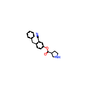 N#Cc1cc(OC(=O)C2CCNC2)ccc1Cc1ccccc1